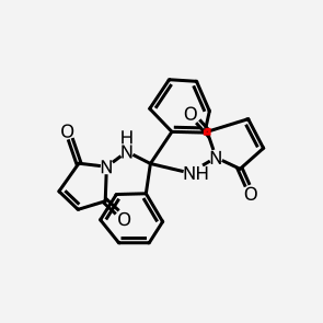 O=C1C=CC(=O)N1NC(NN1C(=O)C=CC1=O)(c1ccccc1)c1ccccc1